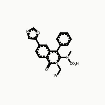 CC(C)Cn1c(N(C)C(=O)O)c(-c2ccccc2)c2cc(-c3cnco3)ccc2c1=O